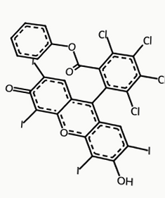 O=C(Oc1ccccc1)c1c(Cl)c(Cl)c(Cl)c(Cl)c1-c1c2cc(I)c(=O)c(I)c-2oc2c(I)c(O)c(I)cc12